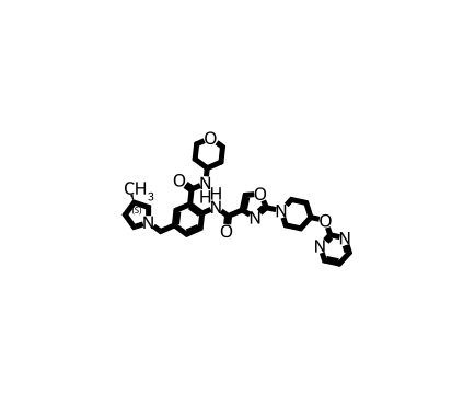 C[C@H]1CCN(Cc2ccc(NC(=O)c3coc(N4CCC(Oc5ncccn5)CC4)n3)c(C(=O)NC3CCOCC3)c2)C1